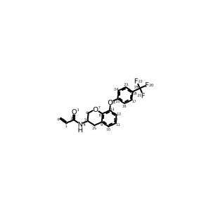 C=CC(=O)NC1COc2c(cccc2Oc2ccc(C(F)(F)F)cc2)C1